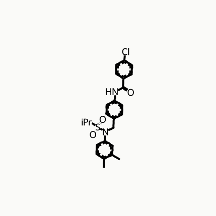 Cc1ccc(N(Cc2ccc(NC(=O)c3ccc(Cl)cc3)cc2)S(=O)(=O)C(C)C)cc1C